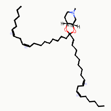 CCCCC/C=C\C/C=C\CCCCCCCCC1(CCCCCCCC/C=C\C/C=C\CCCCC)O[C@H]2CN(C)CC[C@H]2O1